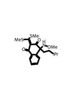 CONC1(CCC(C)C)C(=O)C(=C(SC)SC)C(=O)c2ccccc21